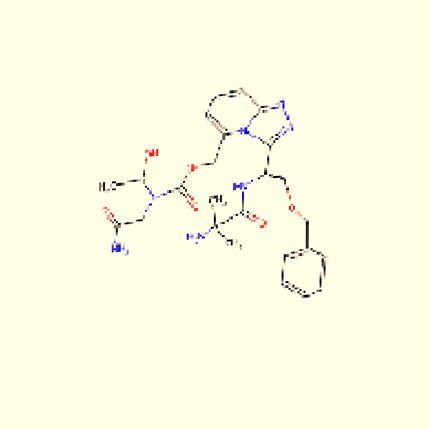 CC(O)N(CC(N)=O)C(=O)OCc1cccc2nnc([C@@H](COCc3ccccc3)NC(=O)C(C)(C)N)n12